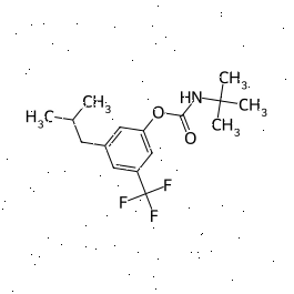 CC(C)Cc1cc(OC(=O)NC(C)(C)C)cc(C(F)(F)F)c1